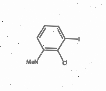 CNc1cccc(I)c1Cl